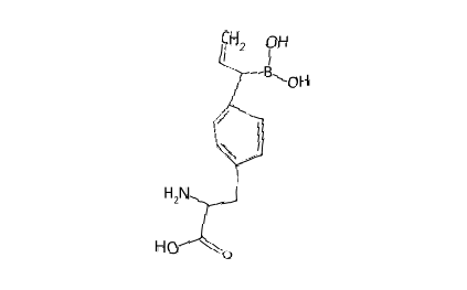 C=CC(B(O)O)c1ccc(CC(N)C(=O)O)cc1